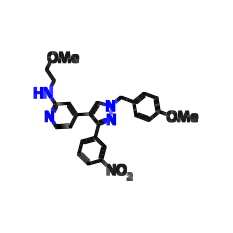 COCCNc1cc(-c2cn(Cc3ccc(OC)cc3)nc2-c2cccc([N+](=O)[O-])c2)ccn1